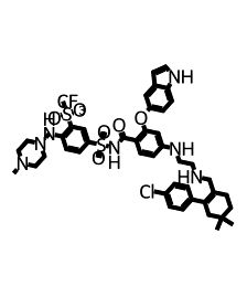 CN1CCN(Nc2ccc(S(=O)(=O)NC(=O)c3ccc(NCCNCC4=C(c5ccc(Cl)cc5)CC(C)(C)CC4)cc3Oc3ccc4[nH]ccc4c3)cc2S(=O)(=O)C(F)(F)F)CC1